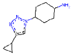 NC1CCC(n2cc(C3CC3)nn2)CC1